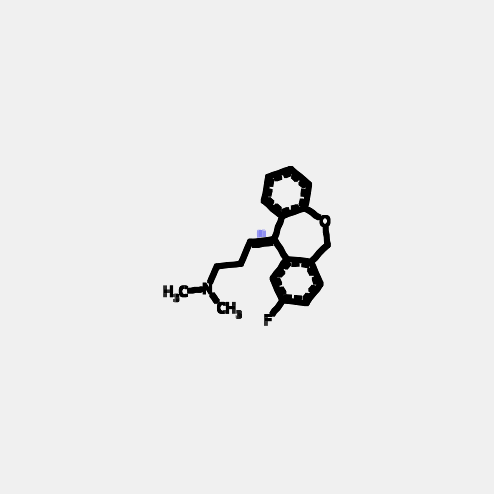 CN(C)CC/C=C1\c2cc(F)ccc2COc2ccccc21